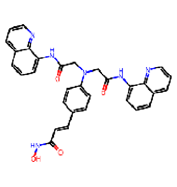 O=C(C=Cc1ccc(N(CC(=O)Nc2cccc3cccnc23)CC(=O)Nc2cccc3cccnc23)cc1)NO